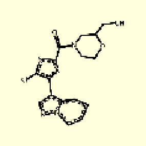 O=C(c1nc(-c2cnn3ccccc23)c(Cl)s1)N1CCOC(CO)C1